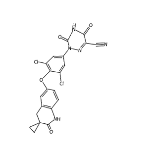 N#Cc1nn(-c2cc(Cl)c(Oc3ccc4c(c3)CC3(CC3)C(=O)N4)c(Cl)c2)c(=O)[nH]c1=O